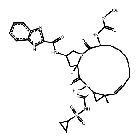 CN1C(=O)[C@@H]2C[C@@H](NC(=O)c3nc4ccccc4[nH]3)CN2C(=O)[C@@H](NC(=O)OC(C)(C)C)CCCCC/C=C\[C@@H]2C[C@]21C(=O)NS(=O)(=O)C1CC1